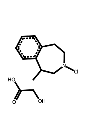 CC1CN(Cl)CCc2ccccc21.O=C(O)CO